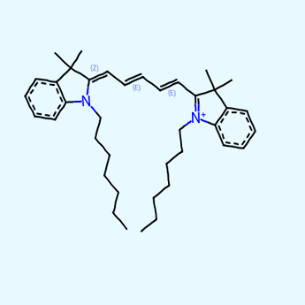 CCCCCCCN1\C(=C/C=C/C=C/C2=[N+](CCCCCCC)c3ccccc3C2(C)C)C(C)(C)c2ccccc21